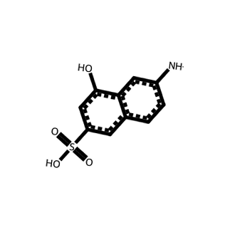 [NH]c1ccc2cc(S(=O)(=O)O)cc(O)c2c1